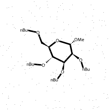 CCCCOC[C@H]1O[C@H](OC)[C@@H](OCCCC)[C@@H](OCCCC)[C@@H]1OCCCC